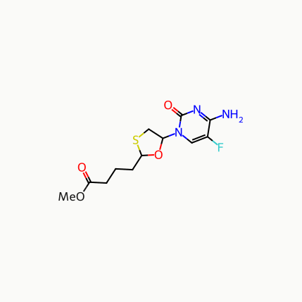 COC(=O)CCCC1OC(n2cc(F)c(N)nc2=O)CS1